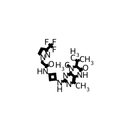 Cc1nc(N[C@H]2C[C@@H](NC(=O)Cn3ccc(C(F)(F)F)n3)C2)nc2c1NC(=O)C(C(C)C)N2C